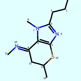 CCCc1nc2c(n1C)/C(=N/C)CC(C)S2